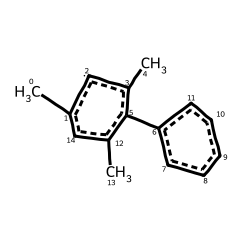 Cc1[c]c(C)c(-c2ccccc2)c(C)c1